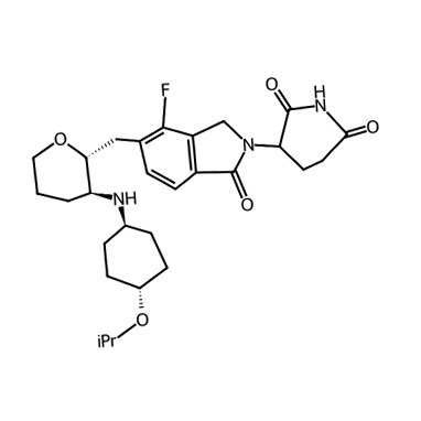 CC(C)O[C@H]1CC[C@H](N[C@H]2CCCO[C@@H]2Cc2ccc3c(c2F)CN(C2CCC(=O)NC2=O)C3=O)CC1